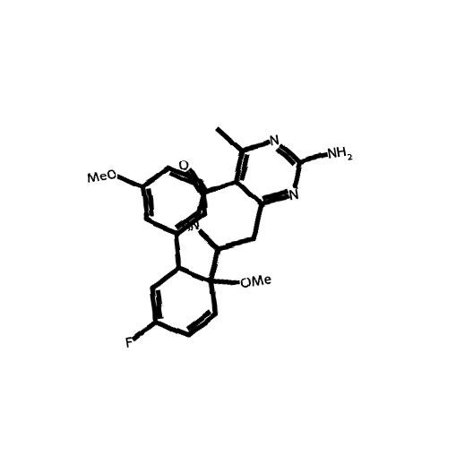 COc1cccc(C2C=C(F)C=CC2(OC)C2Cc3nc(N)nc(C)c3C(=O)N2)c1